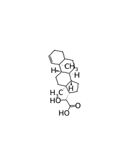 C[C@]12CC[C@H]3[C@@H](CCC4CCC=C[C@@]43C)[C@@H]1CC[C@@H]2C(O)C(=O)O